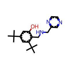 CC(C)(C)c1cc(O)c(CNCc2cnccn2)c(C(C)(C)C)c1